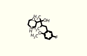 COc1ccc(F)cc1CC(C)C(C)(O)C1CNCCO1